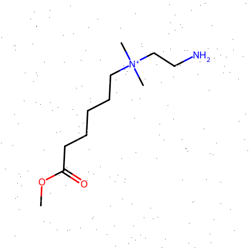 COC(=O)CCCCC[N+](C)(C)CCN